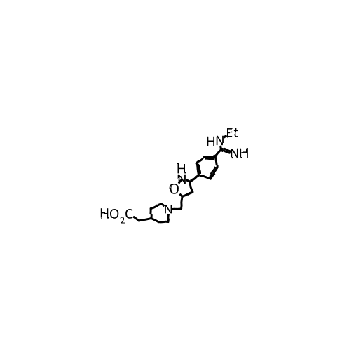 CCNC(=N)c1ccc(C2CC(CN3CCC(CC(=O)O)CC3)ON2)cc1